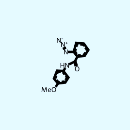 COc1ccc(NC(=O)c2ccccc2N=[N+]=[N-])cc1